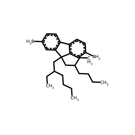 Bc1ccc2c(c1)C(CC(CC)CCCC)(CC(CC)CCCC)c1cc(B)ccc1-2